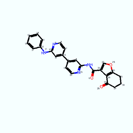 O=C(Nc1cc(-c2ccnc(Nc3ccccc3)c2)ccn1)c1coc2c1C(=O)CCC2